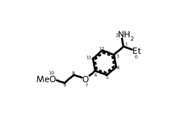 CCC(N)c1ccc(OCCOC)cc1